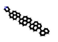 c1ccc2c(-c3ccc4ccc5c(-c6ccc7ccc8c(-c9ccc%10ccc%11c(-c%12ccncc%12)ccc%12ccc9c%10c%12%11)ccc9ccc6c7c98)ccc6ccc3c4c65)cccc2c1